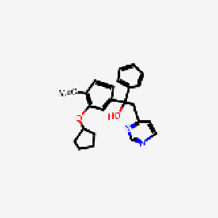 COc1ccc(C(O)(Cc2ccncn2)c2ccccc2)cc1OC1CCCC1